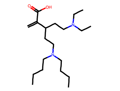 C=C(C(=O)O)C(CCN(CC)CC)CCN(CCCC)CCCC